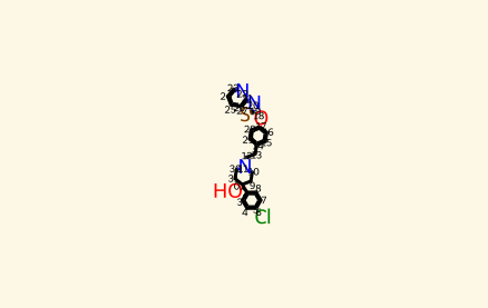 OC1(c2ccc(Cl)cc2)CCN(CCc2ccc(Oc3nc4ncccc4s3)cc2)CC1